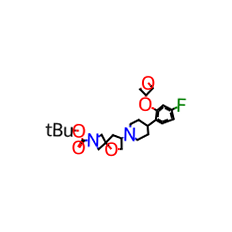 CC(C)(C)OC(=O)N1CC2(C[C@H](N3CCC(c4ccc(F)cc4OC4COC4)CC3)CO2)C1